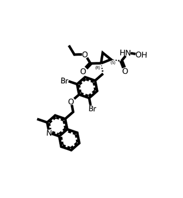 CCOC(=O)[C@@]1(Cc2cc(Br)c(OCc3cc(C)nc4ccccc34)c(Br)c2)C[C@@H]1C(=O)NO